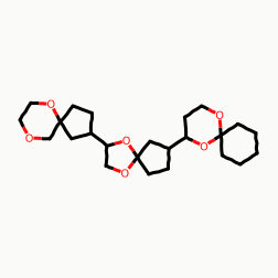 C1CCC2(CC1)OCCC(C1CCC3(C1)OCC(C1CCC4(COCCO4)C1)O3)O2